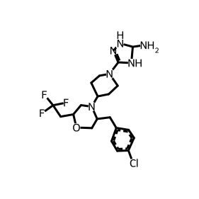 NC1NN=C(N2CCC(N3CC(CC(F)(F)F)OCC3Cc3ccc(Cl)cc3)CC2)N1